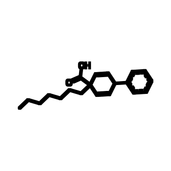 CCCCCCCC1(C(=O)O)C=CC(c2ccccc2)C=C1